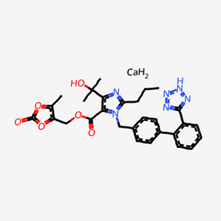 CCCc1nc(C(C)(C)O)c(C(=O)OCc2oc(=O)oc2C)n1Cc1ccc(-c2ccccc2-c2nn[nH]n2)cc1.[CaH2]